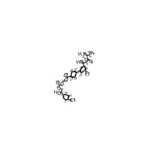 CCc1ccc(C(O)COC(=O)OCOC(=O)c2ccc(-c3cc(CC)cc(C(O)COC(=O)C(N)CC(C)C)c3)cc2)cc1